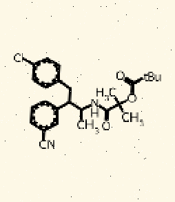 CC(NC(=O)C(C)(C)OC(=O)C(C)(C)C)C(Cc1ccc(Cl)cc1)c1cccc(C#N)c1